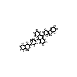 c1ccc2ncc(-c3ccc(-c4c5ccccc5c(-c5ccc6c(c5)oc5ccccc56)c5ccccc45)cn3)cc2c1